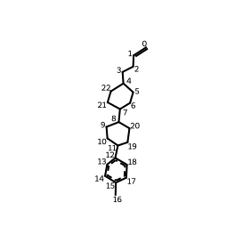 C=CCCC1CCC(C2CCC(c3ccc(C)cc3)CC2)CC1